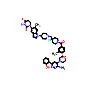 Cc1cc(C(=O)N2CCC(F)(CN3CCC(n4ccc5cc(N6CCC(=O)NC6=O)c(C)cc54)CC3)CC2)ccc1[C@@H]1CN(c2cc(-c3ccccc3O)nnc2N)CCO1